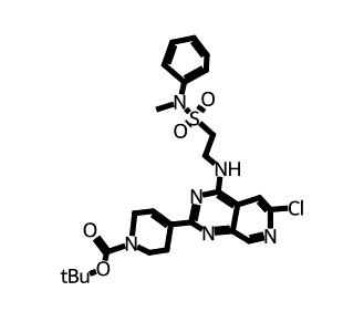 CN(c1ccccc1)S(=O)(=O)CCNc1nc(C2=CCN(C(=O)OC(C)(C)C)CC2)nc2cnc(Cl)cc12